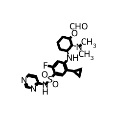 CN(C)[C@H]1C(OC=O)CCC[C@@H]1Nc1cc(F)c(S(=O)(=O)Nc2ccncn2)cc1C1CC1